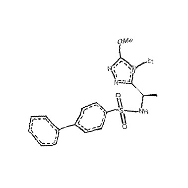 CCn1c(OC)nnc1[C@@H](C)NS(=O)(=O)c1ccc(-c2ccccc2)cc1